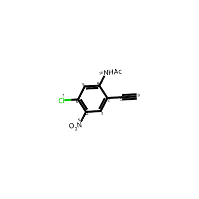 C#Cc1cc([N+](=O)[O-])c(Cl)cc1NC(C)=O